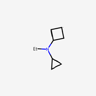 CCN(C1C[CH]C1)C1CC1